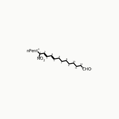 CCCCCC(/C=C/C=C/CCCCCCC[C]=O)[N+](=O)[O-]